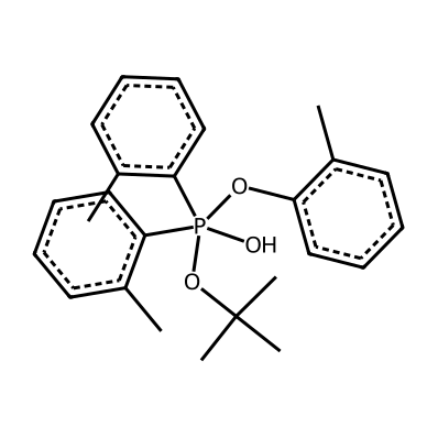 Cc1ccccc1OP(O)(OC(C)(C)C)(c1ccccc1C)c1ccccc1C